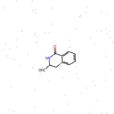 O=CC1Cc2ccccc2C(=O)N1